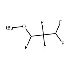 CC(C)(C)OC(F)C(F)(F)C(F)F